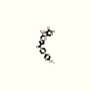 C[C@@H](Cn1ccc(C(=O)N2CCN(c3cnc(C(F)(F)F)cn3)CC2)c1)Nc1cn[nH]c(=O)c1C(F)(F)F